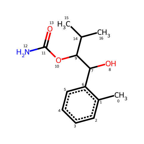 Cc1ccccc1C(O)C(OC(N)=O)C(C)C